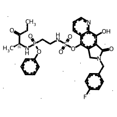 CCC(=O)[C@H](C)NP(=O)(CCNS(=O)(=O)Oc1c2c(c(O)c3ncccc13)C(=O)N(Cc1ccc(F)cc1)C2)Oc1ccccc1